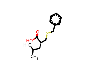 CC(C)C[C@H](CSCc1ccccc1)C(=O)O